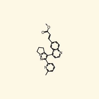 COC(=O)/C=C/c1ccc2nccc(-c3c(-c4cccc(C)n4)nn4c3CCC4)c2c1